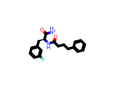 NC(=O)[C@H](Cc1cccc(F)c1)NC(=O)[CH]CCc1ccccc1